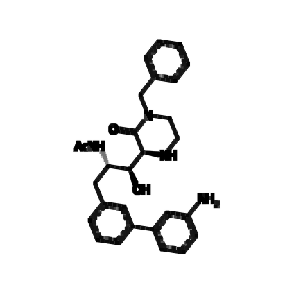 CC(=O)N[C@@H](Cc1cccc(-c2cccc(N)c2)c1)[C@H](O)[C@@H]1NCCN(Cc2ccccc2)C1=O